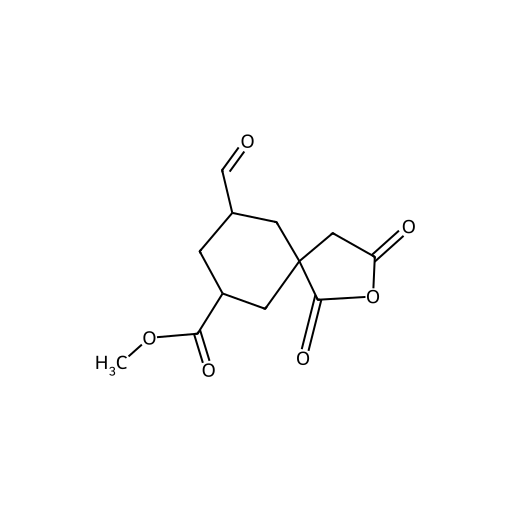 COC(=O)C1CC(C=O)CC2(CC(=O)OC2=O)C1